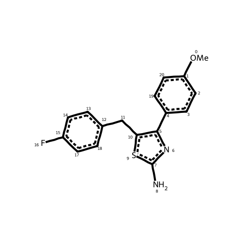 COc1ccc(-c2nc(N)sc2Cc2ccc(F)cc2)cc1